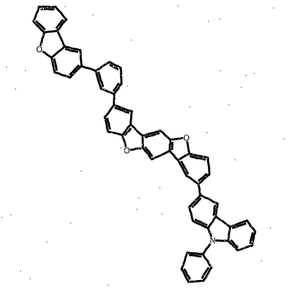 c1ccc(-n2c3ccccc3c3cc(-c4ccc5oc6cc7c(cc6c5c4)oc4ccc(-c5cccc(-c6ccc8oc9ccccc9c8c6)c5)cc47)ccc32)cc1